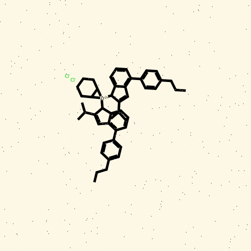 CCCc1ccc(-c2cccc3c2C=C(C(C)C)[CH]3[Zr+2]2([CH]3C(C(C)C)=Cc4c(-c5ccc(CCC)cc5)cccc43)[CH]3CCCC[CH]32)cc1.[Cl-].[Cl-]